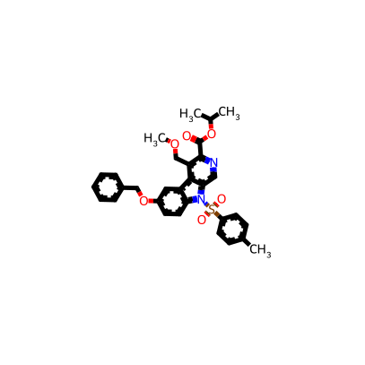 COCc1c(C(=O)OC(C)C)ncc2c1c1cc(OCc3ccccc3)ccc1n2S(=O)(=O)c1ccc(C)cc1